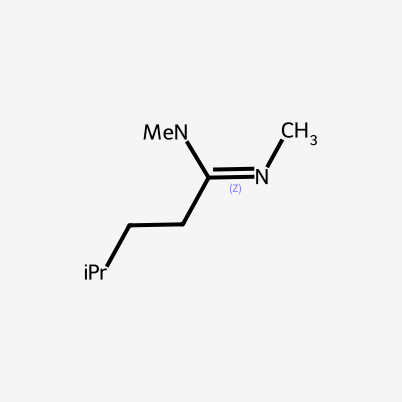 C/N=C(/CCC(C)C)NC